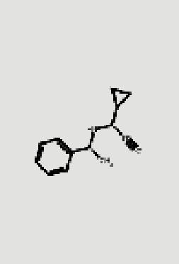 [C-]#[N+][C@@H](N[C@@H](C)c1ccccc1)C1CC1